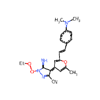 CCOON1N=C(C#N)/C(=C2\C=C(C)OC(/C=C/c3ccc(N(C)C)cc3)=C2)C1=N